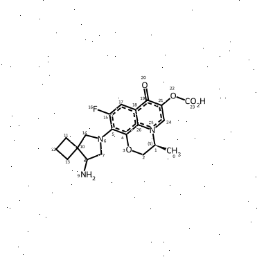 C[C@H]1COc2c(N3CC(N)C4(CCC4)C3)c(F)cc3c(=O)c(OC(=O)O)cn1c23